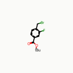 CC(C)(C)OC(=O)c1ccc(CBr)c(F)c1